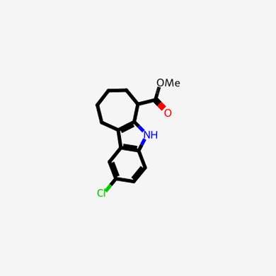 COC(=O)C1CCCCc2c1[nH]c1ccc(Cl)cc21